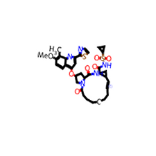 COc1ccc2c(OC3CC4C(=O)NC5(C(=O)NS(=O)(=O)C6CC6)CC5/C=C\CCCCCCC(=O)N4C3)cc(-c3nccs3)nc2c1C